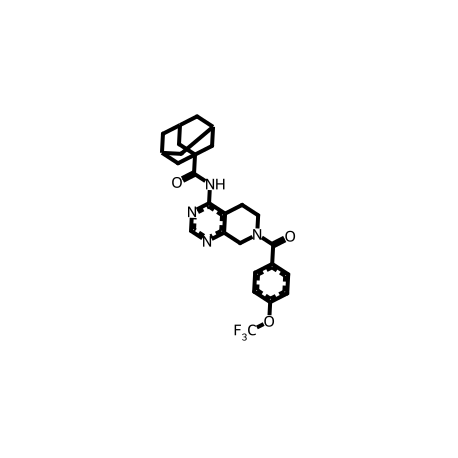 O=C(c1ccc(OC(F)(F)F)cc1)N1CCc2c(ncnc2NC(=O)C23CC4CC(CC(C4)C2)C3)C1